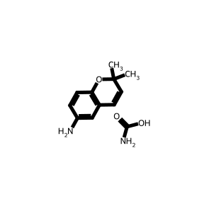 CC1(C)C=Cc2cc(N)ccc2O1.NC(=O)O